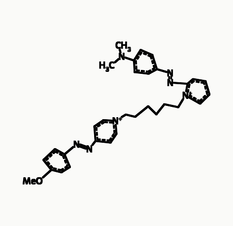 COc1ccc(/N=N/c2cc[n+](CCCCCC[n+]3ccccc3/N=N/c3ccc(N(C)C)cc3)cc2)cc1